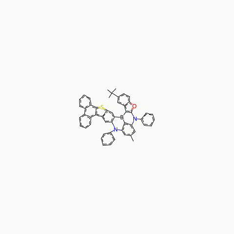 Cc1cc2c3c(c1)N(c1ccccc1)c1oc4ccc(C(C)(C)C)cc4c1B3c1cc3sc4c5ccccc5c5ccccc5c4c3cc1N2c1ccccc1